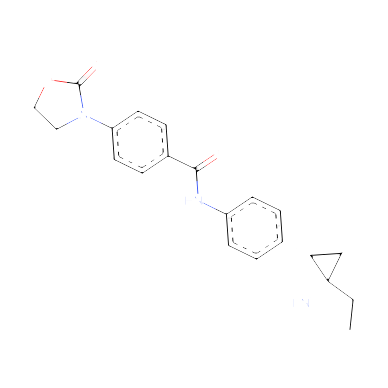 CC[C@]1(N)C[C@H]1c1ccc(NC(=O)c2ccc(N3CCOC3=O)cc2)cc1